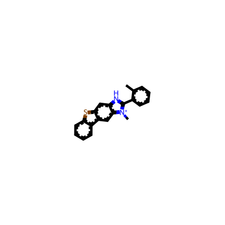 Cc1ccccc1-c1[nH]c2cc3sc4ccccc4c3cc2[n+]1C